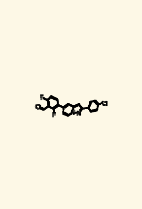 O=Cc1c(F)ccc(-c2ccn3nc(-c4ccc(Cl)cc4)cc3c2)c1F